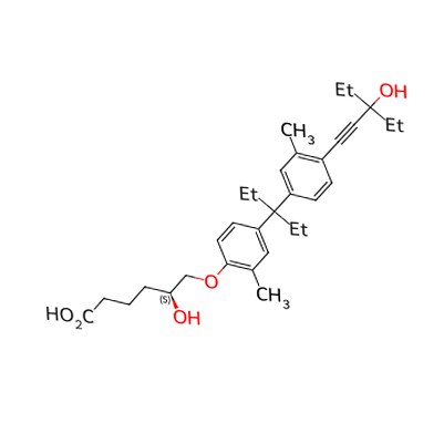 CCC(O)(C#Cc1ccc(C(CC)(CC)c2ccc(OC[C@@H](O)CCCC(=O)O)c(C)c2)cc1C)CC